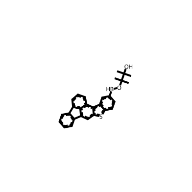 CC(C)(O)C(C)(C)OBc1ccc2sc3cc4c5c(cccc5c3c2c1)-c1ccccc1-4